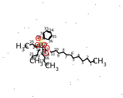 CCCCCCCCCCCC[O][Ti](=[O])([CH2]CCC)([CH2]CCC)([CH2]CCC)[O]S(=O)(=O)c1ccccc1